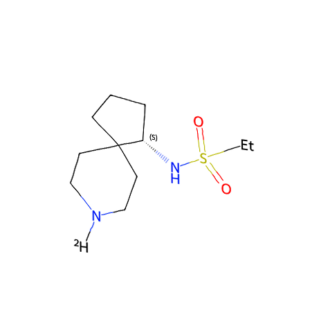 [2H]N1CCC2(CCC[C@@H]2NS(=O)(=O)CC)CC1